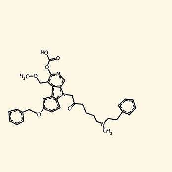 COCc1c(OC(=O)O)ncc2c1c1cc(OCc3ccccc3)ccc1n2CC(=O)CCCCN(C)CCc1ccccc1